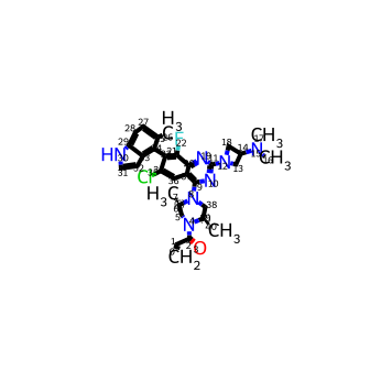 C=CC(=O)N1C[C@H](C)N(c2nc(N3CC(N(C)C)C3)nc3c(F)c(-c4c(C)ccc5[nH]ccc45)c(Cl)cc23)C[C@H]1C